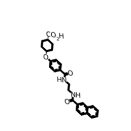 O=C(NCCNC(=O)c1ccc2ccccc2c1)c1ccc(O[C@H]2CC[C@@H](C(=O)O)CC2)cc1